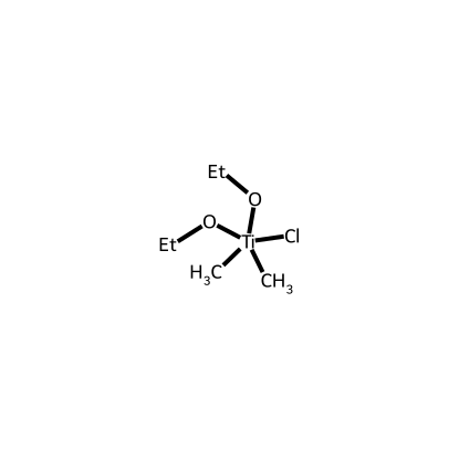 CC[O][Ti]([CH3])([CH3])([Cl])[O]CC